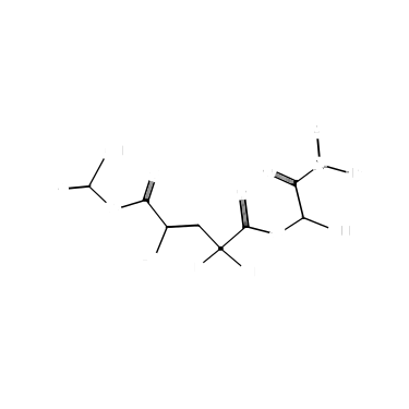 CCC(CC(C)(F)C(=O)OC(C)C(=O)N(C(C)=O)C(C)C)C(=O)OC(C)C(F)(F)F